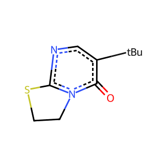 CC(C)(C)c1cnc2n(c1=O)CCS2